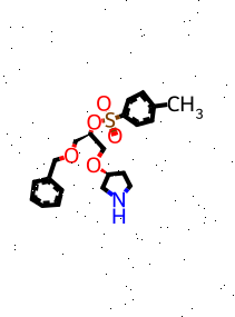 Cc1ccc(S(=O)(=O)O[C@H](COCc2ccccc2)CO[C@H]2CCNC2)cc1